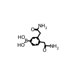 NC(=O)Cc1ccc(B(O)O)cc1CC(N)=O